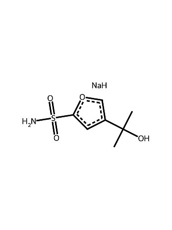 CC(C)(O)c1coc(S(N)(=O)=O)c1.[NaH]